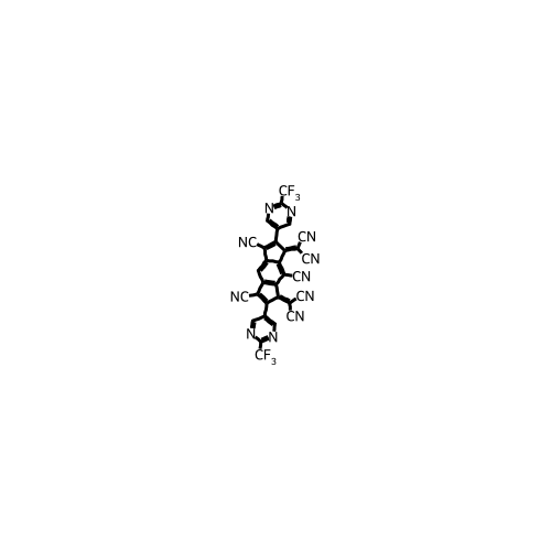 N#CC(C#N)=C1C(c2cnc(C(F)(F)F)nc2)=C(C#N)c2cc3c(c(C#N)c21)C(=C(C#N)C#N)C(c1cnc(C(F)(F)F)nc1)=C3C#N